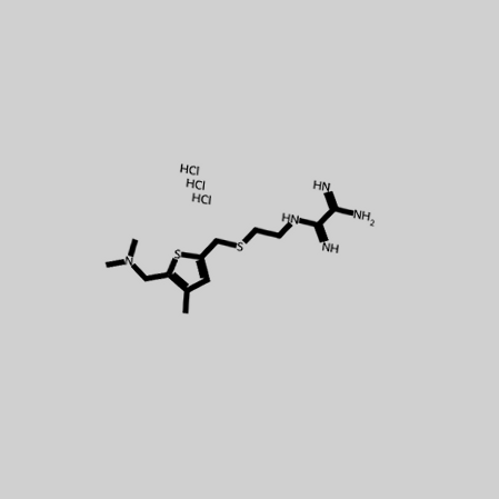 Cc1cc(CSCCNC(=N)C(=N)N)sc1CN(C)C.Cl.Cl.Cl